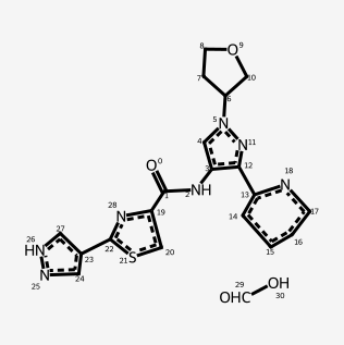 O=C(Nc1cn(C2CCOC2)nc1-c1ccccn1)c1csc(-c2cn[nH]c2)n1.O=CO